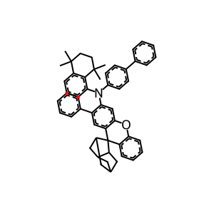 CC1(C)CCC(C)(C)c2c(N(c3ccc(-c4ccccc4)cc3)c3cc4c(cc3-c3ccccc3)C3(c5ccccc5O4)C4CC5CC(C4)C3C5)cccc21